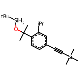 CC(C)c1cc(C#C[Si](C)(C)C)ccc1C(C)(C)O[SiH2]C(C)(C)C